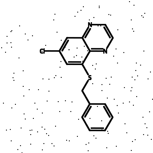 Clc1cc(SCc2ccccc2)c2nccnc2c1